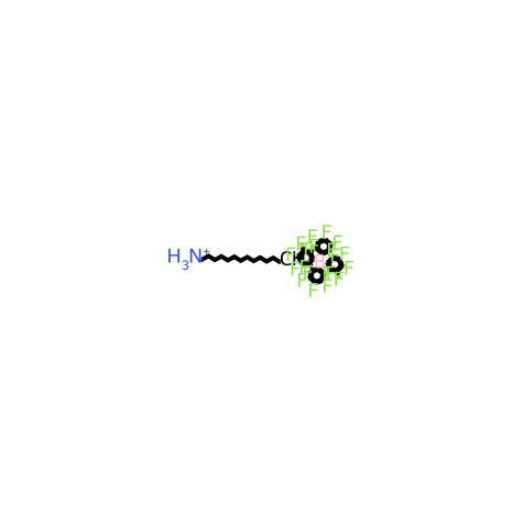 CCCCCCCCCCCCCC[NH3+].Fc1c(F)c(F)c([B-](c2c(F)c(F)c(F)c(F)c2F)(c2c(F)c(F)c(F)c(F)c2F)c2c(F)c(F)c(F)c(F)c2F)c(F)c1F